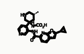 C[C@H]1CNC[C@@](NC(=O)O)(c2ccncc2NC(=O)c2ccc3cc(C4CC4)oc3n2)C1